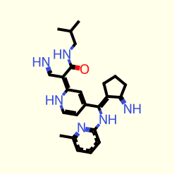 Cc1cccc(N/C(C2=C/C(=C(/C=N)C(=O)NCC(C)C)NC=C2)=C2/CCCC2=N)n1